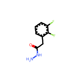 NNC(=O)Cc1cccc(F)c1F